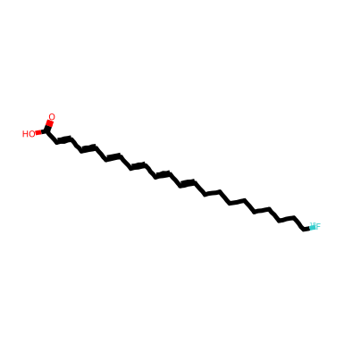 O=C(O)C=CC=CC=CC=CC=CC=CCCCCCCCCC[18F]